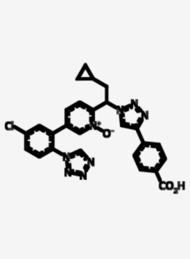 O=C(O)c1ccc(-c2cn(C(CC3CC3)c3ccc(-c4cc(Cl)ccc4-n4cnnn4)c[n+]3[O-])nn2)cc1